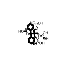 OP(O)OCC(COP(O)O)(COP(O)O)C(OP(O)O)(c1ccccc1)c1ccccc1